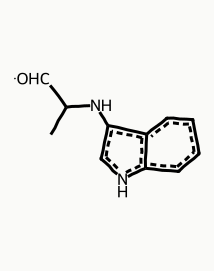 CC([C]=O)Nc1c[nH]c2ccccc12